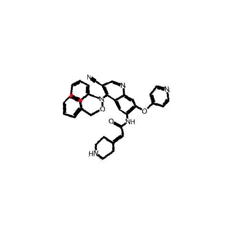 N#Cc1cnc2cc(Oc3ccncc3)c(NC(=O)C=C3CCNCC3)cc2c1N(OCc1ccccc1)c1ccccc1